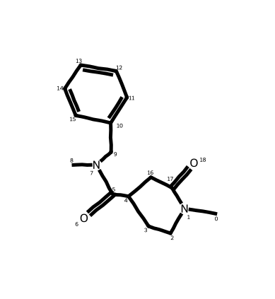 CN1CCC(C(=O)N(C)Cc2ccccc2)CC1=O